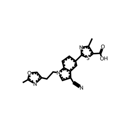 Cc1nc(CCn2cc(C#N)c3cc(-c4nc(C)c(C(=O)O)s4)ccc32)co1